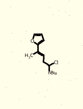 CCCCC(Cl)CC=C(C)c1ccco1